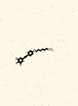 CCCCCCCOc1ccc(C#Cc2cc(F)c(F)c(F)c2)cc1